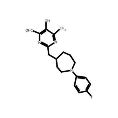 Cc1nc(CC2CCCN(c3ccc(F)cc3)CC2)nc([C]=O)c1O